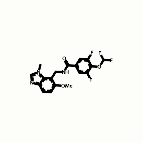 COc1ccc2ncn(C)c2c1CNC(=O)c1cc(F)c(OC(F)F)c(F)c1